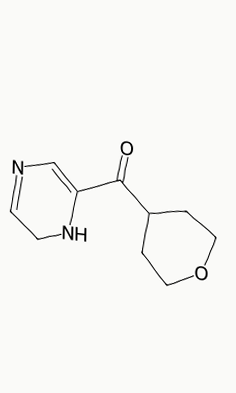 O=C(C1=CN=CCN1)C1CCOCC1